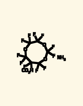 N.O=C(O)C1(F)C(F)(F)OC(F)(F)OC(F)(F)C(F)(F)OC1(F)F